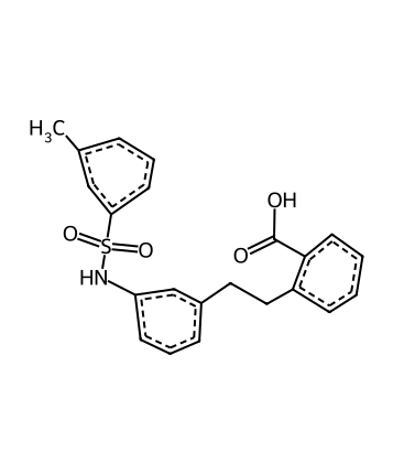 Cc1cccc(S(=O)(=O)Nc2cccc(CCc3ccccc3C(=O)O)c2)c1